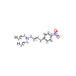 CCN(CC)C/C=C/Cc1ccc([N+](=O)[O-])cc1